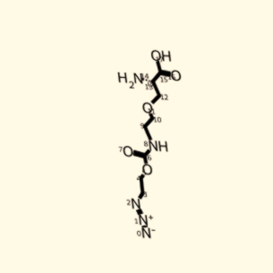 [N-]=[N+]=NCCOC(=O)NCCOC[C@H](N)C(=O)O